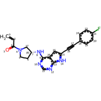 C=CC(=O)N1CC[C@@H](Nc2ncnc3[nH]c(C#Cc4ccc(F)cc4)cc23)C1